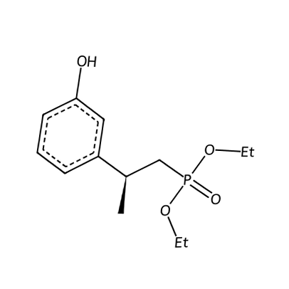 CCOP(=O)(C[C@@H](C)c1cccc(O)c1)OCC